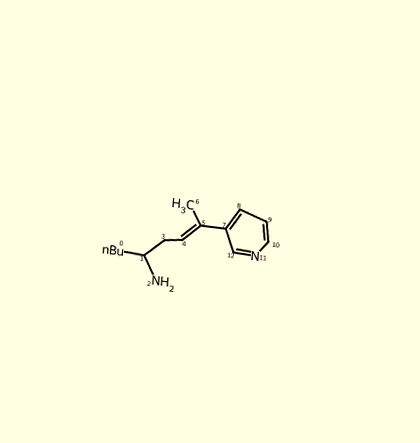 CCCCC(N)CC=C(C)c1cccnc1